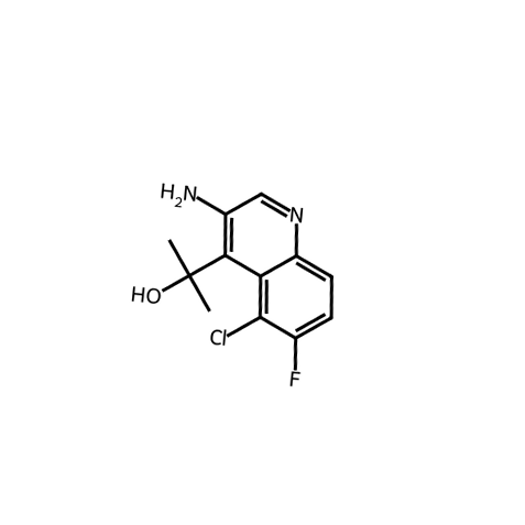 CC(C)(O)c1c(N)cnc2ccc(F)c(Cl)c12